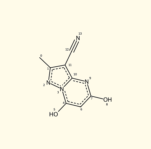 Cc1nn2c(O)cc(O)nc2c1C#N